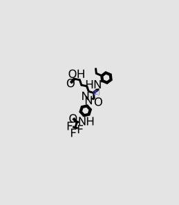 CCc1ccccc1N/C=C1/C(=O)N(c2ccc(NC(=O)C(F)(F)F)cc2)N=C1CCCC(=O)O